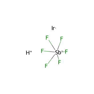 [F][Sb-]([F])([F])([F])([F])[F].[H+].[Ir]